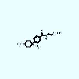 CC1(c2ccc(C(=O)NCCC(=O)O)cc2)CCC(C(F)(F)F)CC1